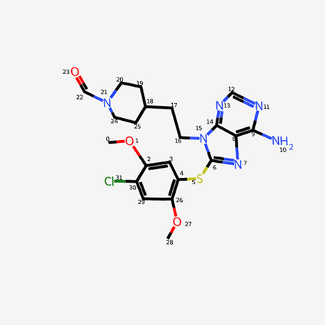 COc1cc(Sc2nc3c(N)ncnc3n2CCC2CCN(C=O)CC2)c(OC)cc1Cl